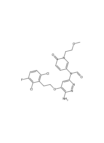 COCCn1cc(N(C=O)c2cc(OCCc3c(Cl)ccc(F)c3Cl)c(N)nn2)ccc1=O